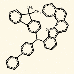 CC1(C)c2ccccc2-c2cc(N(c3ccc(-c4ccccc4)cc3)c3cccc4c3[se]c3c4ccc4ccc5ccccc5c43)ccc21